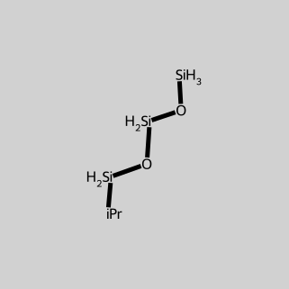 CC(C)[SiH2]O[SiH2]O[SiH3]